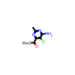 COC(=O)c1nc(C)nc(N)c1Cl